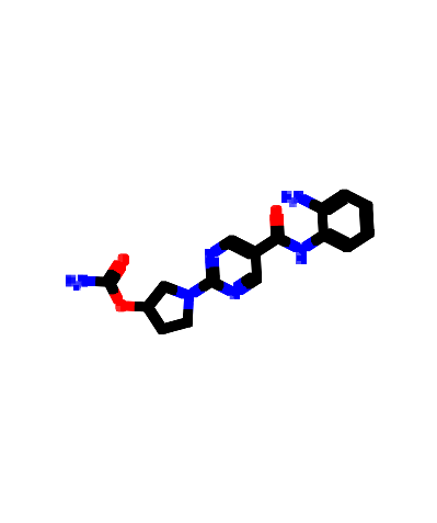 NC(=O)OC1CCN(c2ncc(C(=O)Nc3ccccc3N)cn2)C1